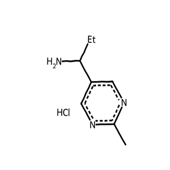 CCC(N)c1cnc(C)nc1.Cl